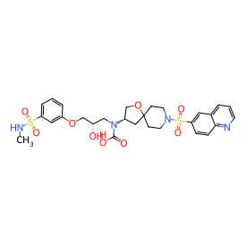 CNS(=O)(=O)c1cccc(OC[C@@H](O)CN(C(=O)O)[C@H]2COC3(CCN(S(=O)(=O)c4ccc5ncccc5c4)CC3)C2)c1